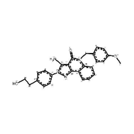 COc1ccc(Cn2c(=O)c3c(N)n(-c4ccc(CCO)cc4)nc3c3ccccc32)cc1